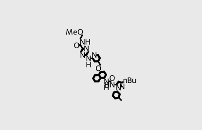 CCCCc1cc(NC(=O)Nc2ccc(OCc3ccnc(Nc4cnc(C(=O)NCCOC)cn4)c3)c3ccccc23)n(-c2cccc(C)c2)n1